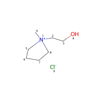 C[N+]1(CCO)CCCC1.[Cl-]